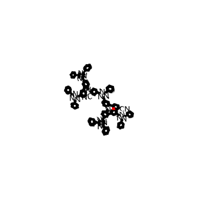 N#Cc1ccc(-c2cc(-c3nc(-c4ccccc4)nc(-c4ccc(-n5c6ccc(-c7nc(-c8ccccc8)nc(-c8ccccc8)n7)cc6c6cc(-c7nc(-c8ccccc8)nc(-c8ccccc8)n7)ccc65)c(C#N)c4)n3)ccc2-n2c3ccc(-c4nc(-c5ccccc5)nc(-c5ccccc5)n4)cc3c3cc(-c4nc(-c5ccccc5)nc(-c5ccccc5)n4)ccc32)cc1